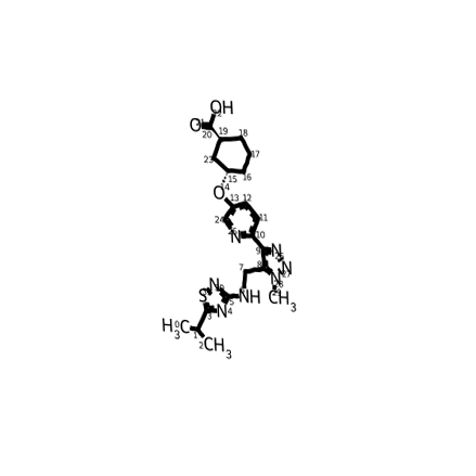 CC(C)c1nc(NCc2c(-c3ccc(O[C@H]4CCC[C@H](C(=O)O)C4)cn3)nnn2C)ns1